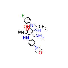 COC(Nc1ccc(N2CCOCC2)cc1)/C(CN)=C1/NC(C)=CN(c2ccc(F)cc2O)C1=O